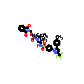 Cc1ccc(-c2cc(C(F)(F)F)nn2-c2ccc(S(=O)(=O)NC(=O)CN(/[N+]([O-])=N/OCN3C(=O)c4ccccc4C3=O)C(C)(C)C)cc2)cc1